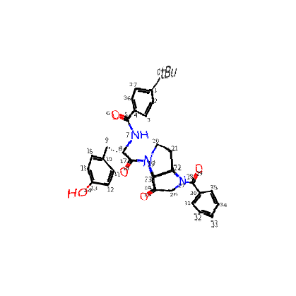 CC(C)(C)c1ccc(C(=O)N[C@@H](Cc2ccc(O)cc2)C(=O)N2CCC3C2C(=O)CN3C(=O)c2ccccc2)cc1